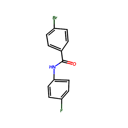 O=C(Nc1ccc(F)cc1)c1ccc(Br)cc1